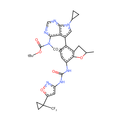 CC1Cc2c(-c3cn(C4CC4)c4ncnc(N(C(=O)O)C(=O)OC(C)(C)C)c34)ccc(NC(=O)Nc3cc(C4(C(F)(F)F)CC4)on3)c2O1